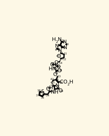 Nc1ncnc2c1ncn2[C@H]1CC[C@@H](COS(=O)(=O)NC(=O)OCC2=C(C(=O)O)N3C(=O)[C@@H](NC(=O)Cc4cccs4)[C@H]3SC2)O1